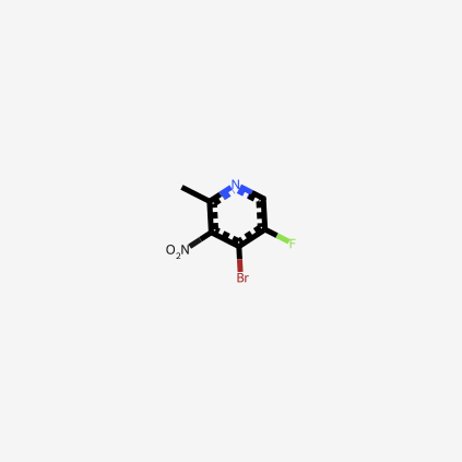 Cc1ncc(F)c(Br)c1[N+](=O)[O-]